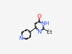 CCc1nc(-c2ccncc2)cc(=O)[nH]1